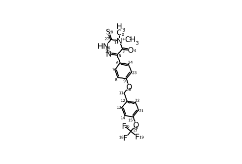 C[N+]1(C)C(=O)C(c2ccc(OCc3ccc(OC(F)(F)F)cc3)cc2)=NNC1=S